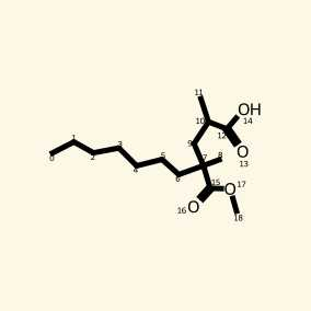 CCCCCCCC(C)(CC(C)C(=O)O)C(=O)OC